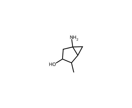 CC1C(O)CC2(N)CC12